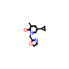 Cc1cc(C2CC2)cn(Cc2ncco2)c1=O